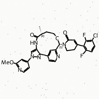 COc1cc(-n2cc3c(n2)-c2ccnc(c2)[C@@H](N2CCC(c4c(F)ccc(Cl)c4F)=CC2=O)CCC[C@@H](C)C(=O)N3)ccn1